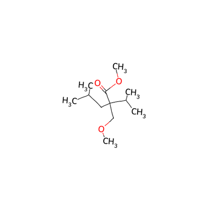 COCC(CC(C)C)(C(=O)OC)C(C)C